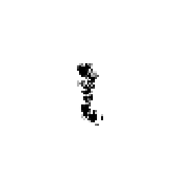 COc1cc(N2CCN(Cc3cccc4c3CN(C3CCC(=O)NC3=O)C4=O)CC2)c(C)cc1Nc1ncc(Br)c(Nc2ccc3nccnc3c2P(=O)(OC)OC)n1